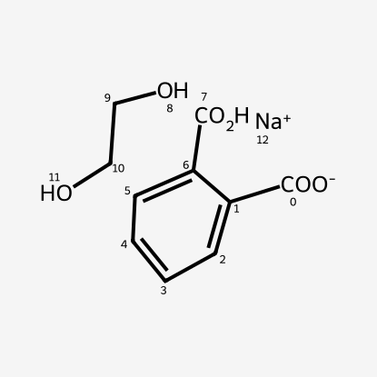 O=C([O-])c1ccccc1C(=O)O.OCCO.[Na+]